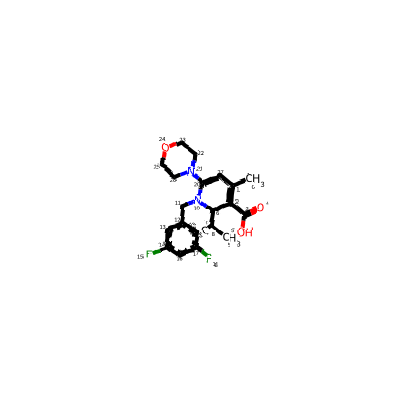 CC1=C(C(=O)O)C(C(C)C)N(Cc2cc(F)cc(F)c2)C(N2CCOCC2)=C1